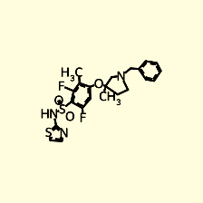 Cc1c(O[C@@]2(C)CCN(Cc3ccccc3)C2)cc(F)c(S(=O)(=O)Nc2nccs2)c1F